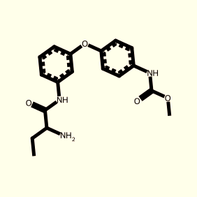 CCC(N)C(=O)Nc1cccc(Oc2ccc(NC(=O)OC)cc2)c1